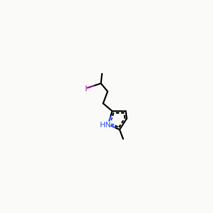 Cc1ccc(CCC(C)I)[nH]1